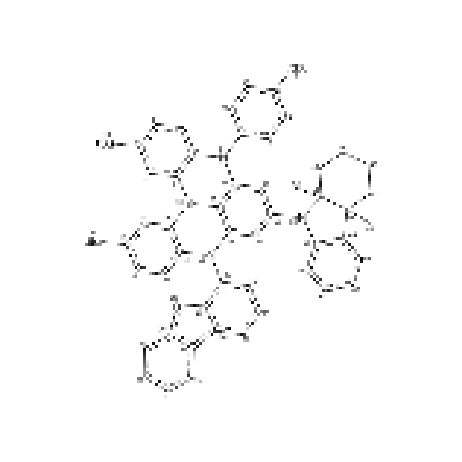 CC(C)(C)c1ccc(N2c3ccc(C(C)(C)C)cc3B3c4cc(C(C)(C)C)ccc4N(c4cccc5c4oc4ccccc45)c4cc(N5c6ccccc6C6(C)CCCCC56C)cc2c43)cc1